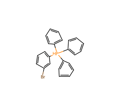 Brc1cccc([PH](c2ccccc2)(c2ccccc2)c2ccccc2)c1